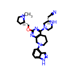 CN1CCC[C@H]1COc1nc2c(c(N3CCN[C@@H](CC#N)C3)n1)CCCN(c1cccc3[nH]ncc13)C2